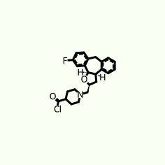 O=C(Cl)C1CCN(C[C@@H]2C[C@@H]3c4ccccc4Cc4ccc(F)cc4[C@@H]3O2)CC1